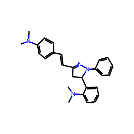 CN(C)c1ccc(C=CC2=NN(c3ccccc3)C(c3ccccc3N(C)C)C2)cc1